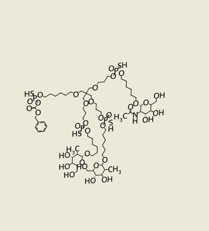 CC(=O)NC1[C@H](OCCCCCCOP(=O)(S)OCCCOCC(COCCCCCCOP(=O)(S)OC(=O)OCc2ccccc2)(COCCCOP(=O)(S)OCCCCCCO[C@@H]2OC(CO)[C@@H](O)[C@H](O)C2C)COCCCOP(=O)(S)OCCCCCCO[C@@H]2OC(CO)[C@@H](O)[C@H](O)C2C)OC(CO)[C@@H](O)[C@@H]1O